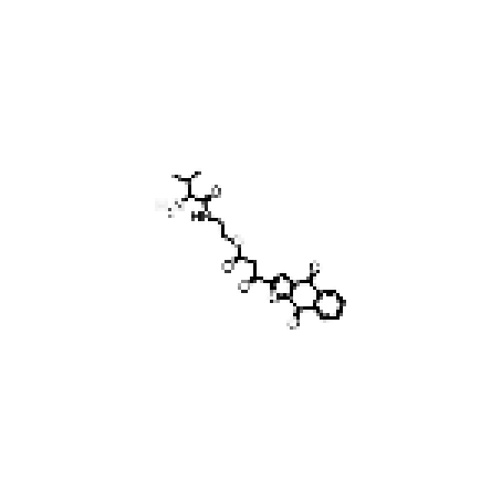 CC(C)C(N)C(=O)NCCOC(=O)CC(=O)c1cc2c(o1)C(=O)c1ccccc1C2=O